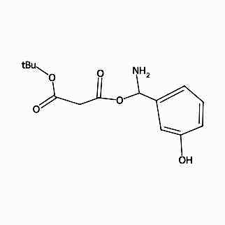 CC(C)(C)OC(=O)CC(=O)OC(N)c1cccc(O)c1